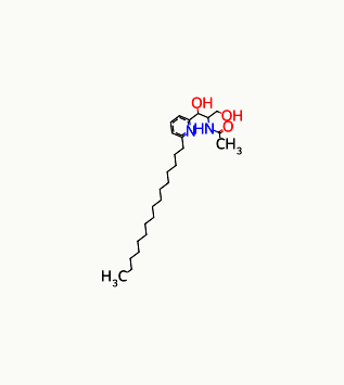 CCCCCCCCCCCCCCCCc1cccc(C(O)C(CO)NC(C)=O)n1